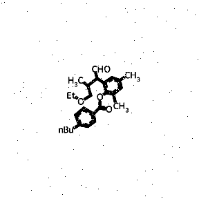 CCCCc1ccc(C(=O)Oc2c(C)cc(C)cc2C(C=O)C(C)COCC)cc1